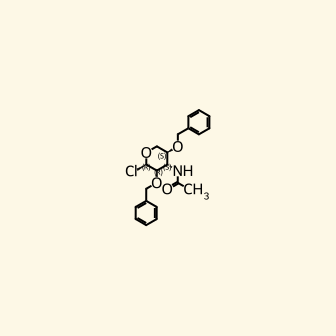 CC(=O)N[C@@H]1[C@@H](OCc2ccccc2)[C@@H](Cl)OC[C@H]1OCc1ccccc1